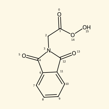 O=C(CN1C(=O)c2ccccc2C1=O)OO